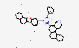 c1ccc(-c2nc(-c3ccc4c(c3)oc3c5ccccc5ccc43)nc(-c3cc4ccc5ccccc5c4c4ccncc34)n2)cc1